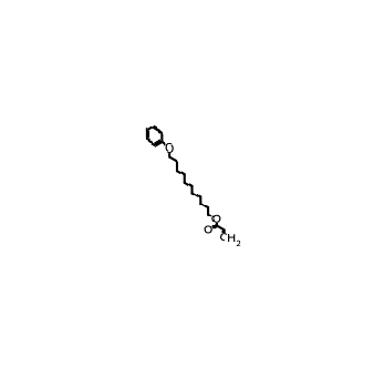 C=CC(=O)OCCCCCCCCCCCOc1ccccc1